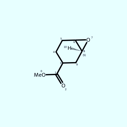 COC(=O)C1CCC2O[C@H]2C1